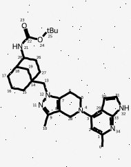 Cc1cc(N2CCc3c(c(C)nn3CC34CCCC(C3)C(NC(=O)OC(C)(C)C)CC4)C2)c2cc[nH]c2n1